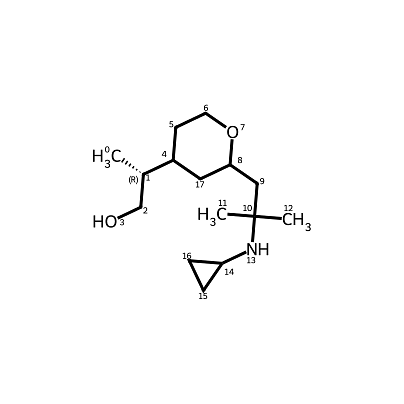 C[C@@H](CO)C1CCOC(CC(C)(C)NC2CC2)C1